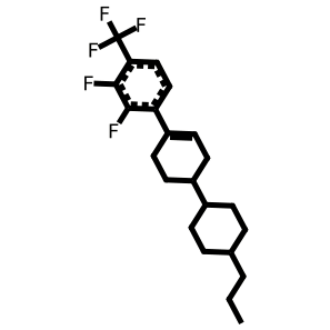 CCCC1CCC(C2CC=C(c3ccc(C(F)(F)F)c(F)c3F)CC2)CC1